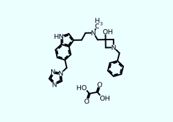 CN(CCc1c[nH]c2ccc(Cn3cncn3)cc12)CC1(O)CN(Cc2ccccc2)C1.O=C(O)C(=O)O